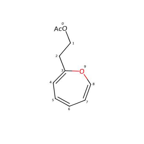 CC(=O)OCCC1=CC=CC=CO1